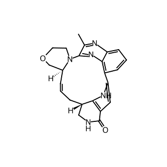 Cc1nc2cccc3c2nc1N1CCOC[C@@H]1/C=C\C[C@H]1CNC(=O)c2cc-3[nH]c21